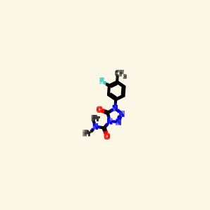 CC(C)N(C(=O)n1nnn(-c2ccc(C(F)(F)F)c(F)c2)c1=O)C(C)C